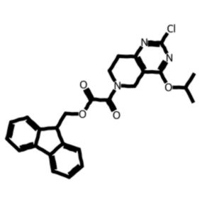 CC(C)Oc1nc(Cl)nc2c1CN(C(=O)C(=O)OCC1c3ccccc3-c3ccccc31)CC2